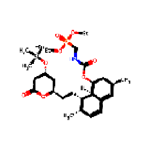 CCOP(=O)(CNC(=O)O[C@H]1C[C@@H](C)C=C2C=C[C@H](C)[C@H](CC[C@@H]3C[C@@H](O[Si](C)(C)C(C)(C)C)CC(=O)O3)[C@H]21)OCC